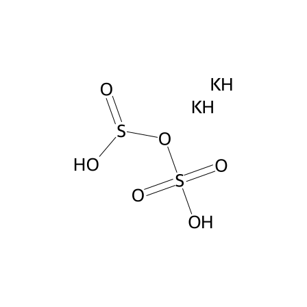 O=S(O)OS(=O)(=O)O.[KH].[KH]